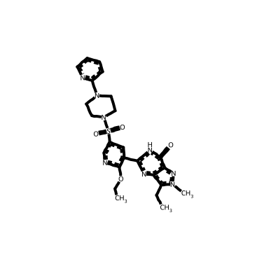 CCOc1ncc(S(=O)(=O)N2CCN(c3ccccn3)CC2)cc1-c1nc2c(CC)n(C)nc2c(=O)[nH]1